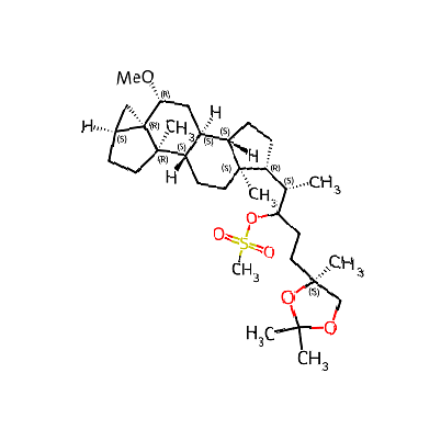 CO[C@@H]1C[C@H]2[C@@H]3CC[C@H]([C@H](C)C(CC[C@@]4(C)COC(C)(C)O4)OS(C)(=O)=O)[C@@]3(C)CC[C@@H]2[C@@]2(C)CC[C@H]3C[C@]312